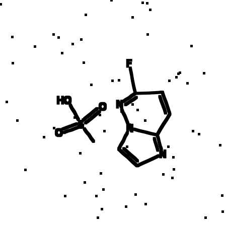 CS(=O)(=O)O.Fc1ccc2nccn2n1